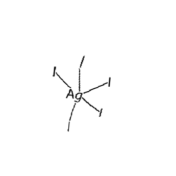 [I][Ag]([I])([I])([I])[I]